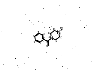 C=C(c1ccccc1)N1CCN(C)CC1